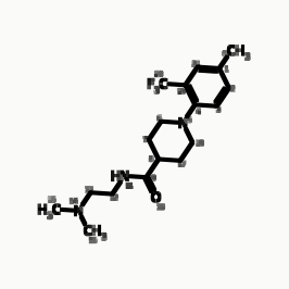 Cc1ccc(N2CCC(C(=O)NCCN(C)C)CC2)c(C(F)(F)F)c1